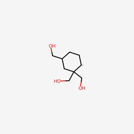 OCC1CC[C]C(CO)(CO)C1